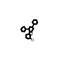 Clc1cccc2c1sc1cc(-c3ccccc3)cc(-c3ccccc3)c12